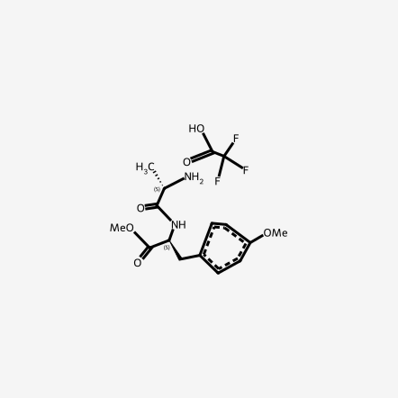 COC(=O)[C@H](Cc1ccc(OC)cc1)NC(=O)[C@H](C)N.O=C(O)C(F)(F)F